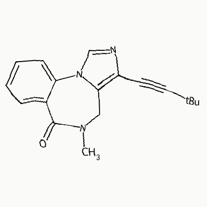 CN1Cc2c(C#CC(C)(C)C)ncn2-c2ccccc2C1=O